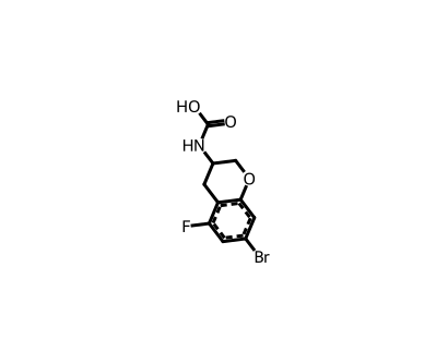 O=C(O)NC1COc2cc(Br)cc(F)c2C1